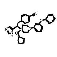 N#Cc1ccc(CC(c2cnc[nH]2)[N+]2(C(=O)C3CCCC3)CCN(c3cccc(Oc4ccccc4)c3)CC2)cc1